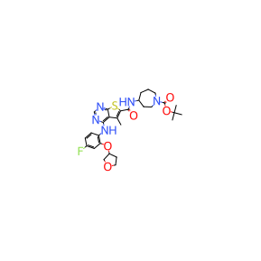 Cc1c(C(=O)NC2CCCN(C(=O)OC(C)(C)C)CC2)sc2ncnc(Nc3ccc(F)cc3OC3CCOC3)c12